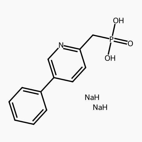 O=P(O)(O)Cc1ccc(-c2ccccc2)cn1.[NaH].[NaH]